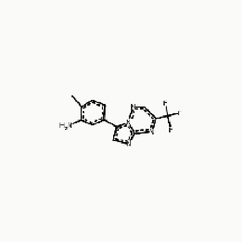 Cc1ccc(-c2cnc3nc(C(F)(F)F)cnn23)cc1N